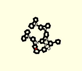 c1ccc(-c2ccc3c(c2)B2c4c(cc(-c5ccccc5)cc4-n4c5ccc(-n6c7ccccc7c7cc(-n8c9ccccc9c9ccccc98)ccc76)cc5c5cc(-n6c7ccccc7c7cc(-n8c9ccccc9c9ccccc98)ccc76)cc2c54)O3)cc1